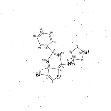 Brc1csc2c(N[C@H]3CCNC3)nc(-c3ccncc3)nc12